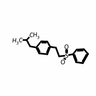 CC(C)Cc1ccc(CCS(=O)(=O)c2ccccc2)cc1